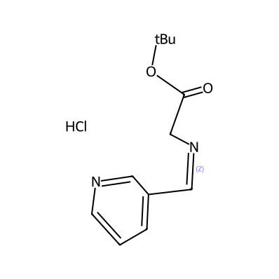 CC(C)(C)OC(=O)C/N=C\c1cccnc1.Cl